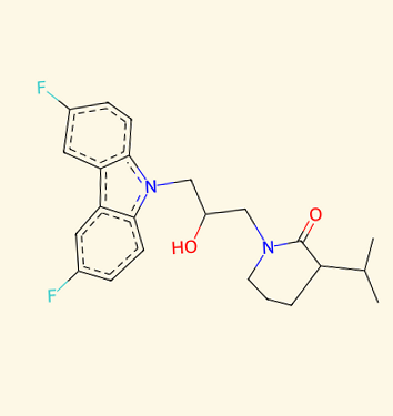 CC(C)C1CCCN(CC(O)Cn2c3ccc(F)cc3c3cc(F)ccc32)C1=O